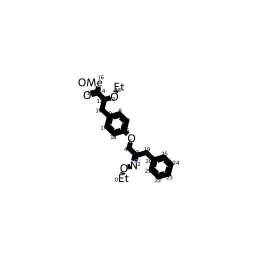 CCO/N=C(\COc1ccc(CC(OCC)C(=O)OC)cc1)Cc1ccccc1